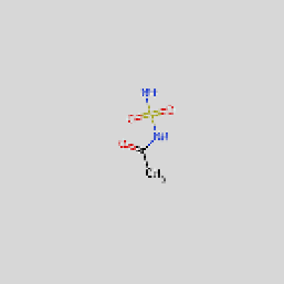 CC(=O)NS([NH])(=O)=O